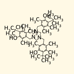 Cc1c(C)c(C(C)(C)C)c(O)c(C)c1CN1CN(Cc2c(C)c(C)c(C(C)(C)C)c(O)c2C)CN(Cc2c(C)c(C)c(C(C)(C)C)c(O)c2C)C1